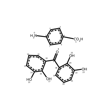 Nc1ccc(C(=O)O)cc1.O=C(c1cccc(O)c1O)c1cccc(O)c1O